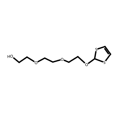 OCCOCCOCCOC1SC=CS1